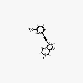 Cc1cccc(C#Cc2nnc3n2CCNC3)n1